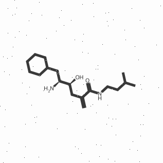 C=C(C[C@H](O)[C@@H](N)CC1CCCCC1)C(=O)NCCC(C)C